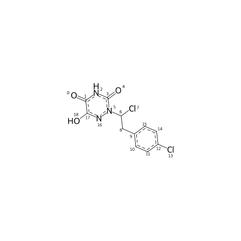 O=c1[nH]c(=O)n(C(Cl)Cc2ccc(Cl)cc2)nc1O